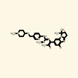 C=N/C(=N\C(=C(/C)F)c1cc(F)c2nc3n(c2c1)C(C)(C)CC3)Nc1ccc(COC2CCN(C)CC2)cn1